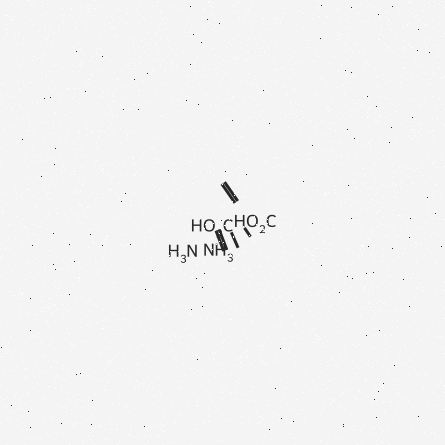 C=C.C=C.CC(=O)O.CC(=O)O.N.N